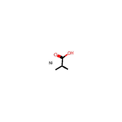 CC(C)C(=O)O.[Ni]